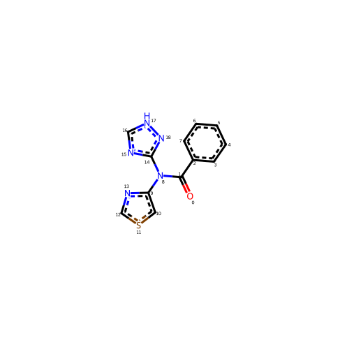 O=C(c1ccccc1)N(c1cscn1)c1nc[nH]n1